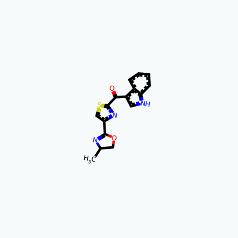 CC1COC(c2csc(C(=O)c3c[nH]c4ccccc34)n2)=N1